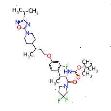 CC(C)c1noc(N2CCC(C(C)CCOc3ccc([C@H](C)[C@H](NC(=O)OC(C)(C)C)C(=O)N4CCC(F)(F)C4)c(F)c3)CC2)n1